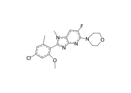 COc1cc(Cl)cc(C)c1-c1nc2nc(N3CCOCC3)c(F)cc2n1C